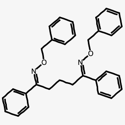 c1ccc(CON=C(CCCC(=NOCc2ccccc2)c2ccccc2)c2ccccc2)cc1